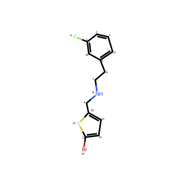 Fc1cccc(CCNCc2ccc(Br)s2)c1